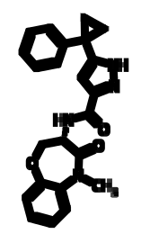 CN1C(=O)[C@@H](NC(=O)c2cc(C3(c4ccccc4)CC3)[nH]n2)COc2ccccc21